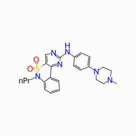 CCCN1c2ccccc2-c2nc(Nc3ccc(N4CCN(C)CC4)cc3)ncc2S1(=O)=O